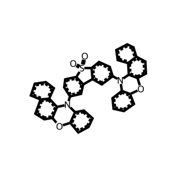 O=S1(=O)c2ccc(N3c4ccccc4Oc4ccc5ccccc5c43)cc2-c2cc(N3c4ccccc4Oc4ccc5ccccc5c43)ccc21